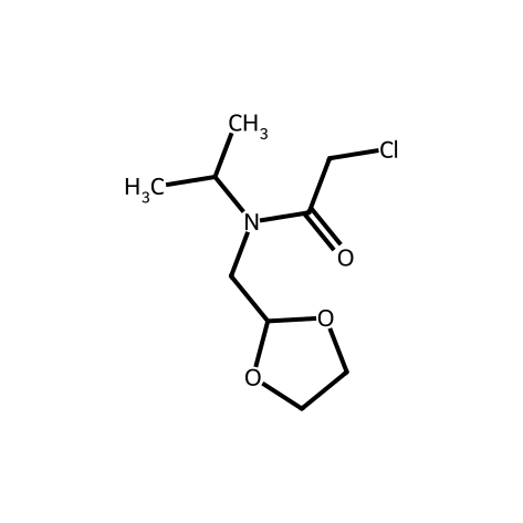 CC(C)N(CC1OCCO1)C(=O)CCl